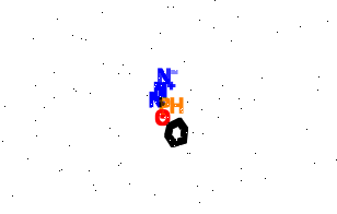 [N-]=[N+]=NPOc1ccccc1